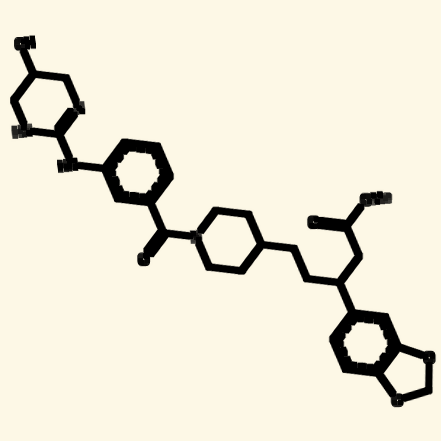 COC(=O)CC(CCC1CCN(C(=O)c2cccc(NC3=NCC(O)CN3)c2)CC1)c1ccc2c(c1)OCO2